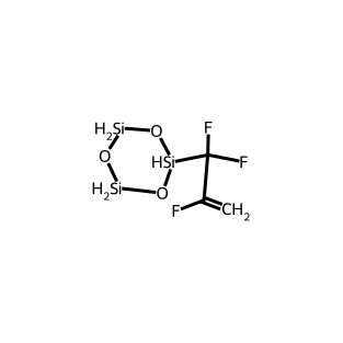 C=C(F)C(F)(F)[SiH]1O[SiH2]O[SiH2]O1